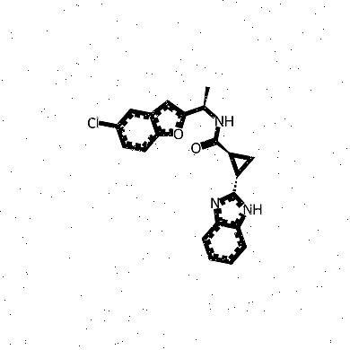 C[C@@H](NC(=O)[C@H]1C[C@@H]1c1nc2ccccc2[nH]1)c1cc2cc(Cl)ccc2o1